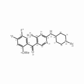 COc1cc(F)c(F)cc1C(=O)c1cnc(NC2CCN(C(C)=O)CC2)nc1N